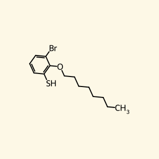 CCCCCCCCOc1c(S)cccc1Br